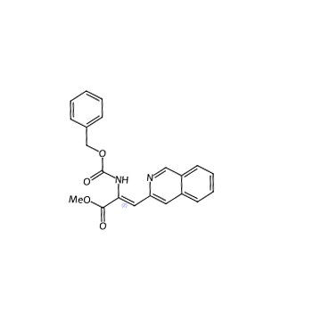 COC(=O)/C(=C/c1cc2ccccc2cn1)NC(=O)OCc1ccccc1